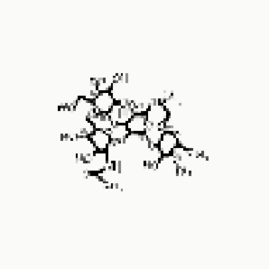 CCCO[C@@H]1OC(C)[C@H](O)C(O)C1O[C@@H]1OC(C)[C@H](O)C(O[C@H]2OC(CO)[C@@H](O)C(O)C2O)C1O[C@@H]1OC(CO)[C@@H](O)C(O)C1NC(C)=O